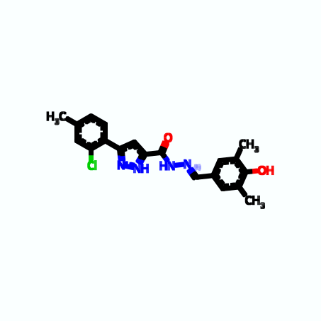 Cc1ccc(-c2cc(C(=O)N/N=C/c3cc(C)c(O)c(C)c3)[nH]n2)c(Cl)c1